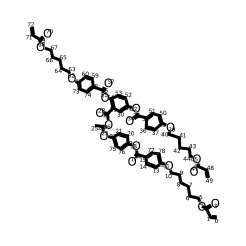 C=CC(=O)OCCCCCCOc1ccc(C(=O)Oc2ccc(OC(C)OC(=O)c3cc(OC(=O)c4ccc(OCCCCCOC(=O)C=C)cc4)ccc3OC(=O)c3ccc(OCCCCCOC(=O)C=C)cc3)cc2)cc1